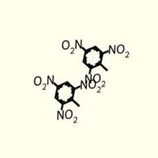 Cc1c([N+](=O)[O-])cc([N+](=O)[O-])cc1[N+](=O)[O-].Cc1c([N+](=O)[O-])cc([N+](=O)[O-])cc1[N+](=O)[O-]